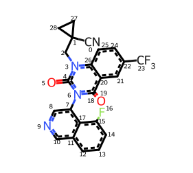 N#CC1(Cn2c(=O)n(-c3cncc4cccc(F)c34)c(=O)c3cc(C(F)(F)F)ccc32)CC1